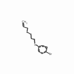 C=CCCCCCSc1ccc(Br)cc1